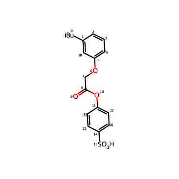 CCC(C)c1cccc(OCC(=O)Oc2ccc(S(=O)(=O)O)cc2)c1